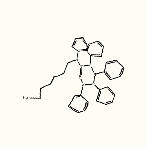 CCCCCCCN(c1ccccc1)[n+]1pn(-c2ccccc2)p(-c2ccccc2)n(-c2ccccc2)p1-c1ccccc1